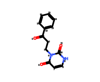 O=C(CCn1c(=O)cc[nH]c1=O)c1ccccc1